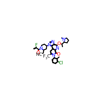 C=C(F)C(=O)N1CCC(n2cnc3c(OC(C)C4CCCN4C)nc4c(=O)n(-c5cccc(Cl)c5C)c(C(F)(F)F)cc4c32)CC1CC#N